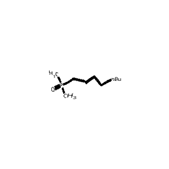 CCCCCCCCP(C)(C)=O